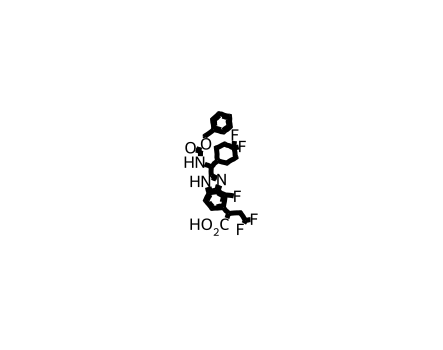 O=C(NC(c1nc2c(F)c(C(CC(F)F)C(=O)O)ccc2[nH]1)C1CCC(F)(F)CC1)OCc1ccccc1